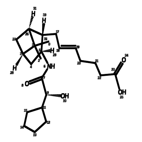 CC1(C)[C@H]2C[C@H](NC(=O)[C@H](O)C3CCCC3)[C@@H](CC=CCCCC(=O)O)[C@@H]1C2